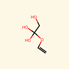 C=COC(O)(O)CO